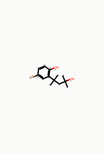 CC(C)(O)CC(C)(C)c1cc(Br)ccc1O